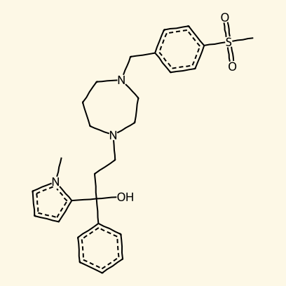 Cn1cccc1C(O)(CCN1CCCN(Cc2ccc(S(C)(=O)=O)cc2)CC1)c1ccccc1